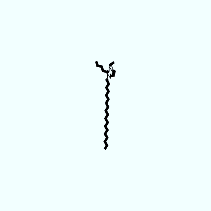 CCCCCCCCCCCCCCCCCCCN1C=CN(CC)C1CCCC